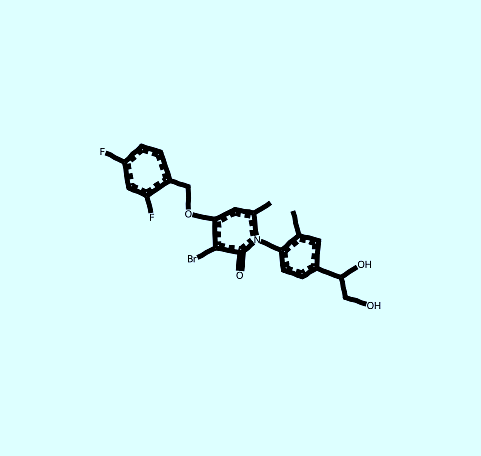 Cc1cc(C(O)CO)ccc1-n1c(C)cc(OCc2ccc(F)cc2F)c(Br)c1=O